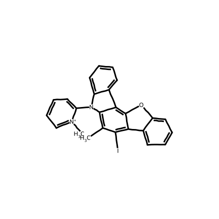 Cc1c(I)c2c3ccccc3oc2c2c3ccccc3n(-c3cccc[n+]3C)c12